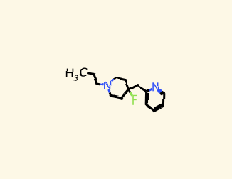 CCCN1CCC(F)(Cc2ccccn2)CC1